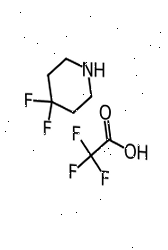 FC1(F)CCNCC1.O=C(O)C(F)(F)F